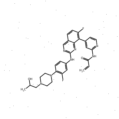 C=CC(=O)Nc1cc(-c2c(F)ccc3cnc(Nc4ccc(N5CCN(CC(C)O)CC5)c(F)c4)nc23)ccn1